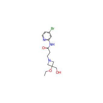 CCOC1(CO)CN(CCC(=O)Nc2cc(Br)ccn2)C1